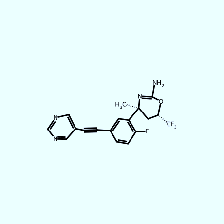 C[C@@]1(c2cc(C#Cc3cncnc3)ccc2F)C[C@@H](C(F)(F)F)OC(N)=N1